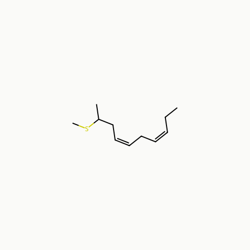 CC/C=C\C/C=C\CC(C)SC